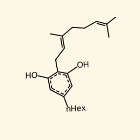 CCCCCCc1cc(O)c(C/C=C(\C)CCC=C(C)C)c(O)c1